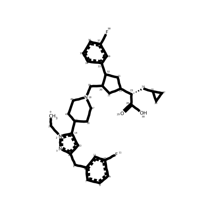 CCn1nc(Cc2cccc(F)c2)cc1C1CCN(CC2CC([C@H](CC3CC3)C(=O)O)CC2c2cccc(F)c2)CC1